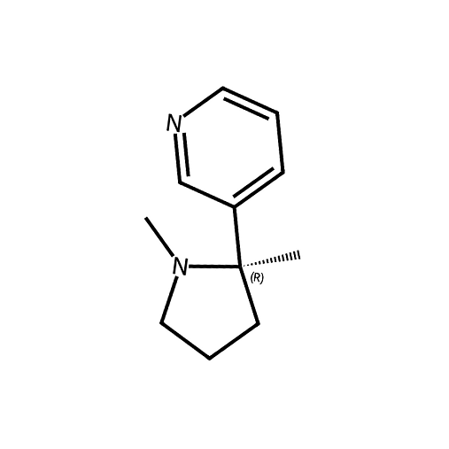 CN1CCC[C@]1(C)c1cccnc1